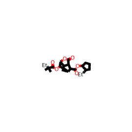 CCC1CCCC1OC(=O)C1C2CC3C(OC(=O)C31)C2OC(=O)C(C)(C)CC